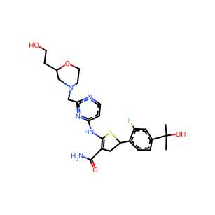 CC(C)(O)c1ccc(C2CC(C(N)=O)=C(Nc3ccnc(CN4CCOC(CCO)C4)n3)S2)c(F)c1